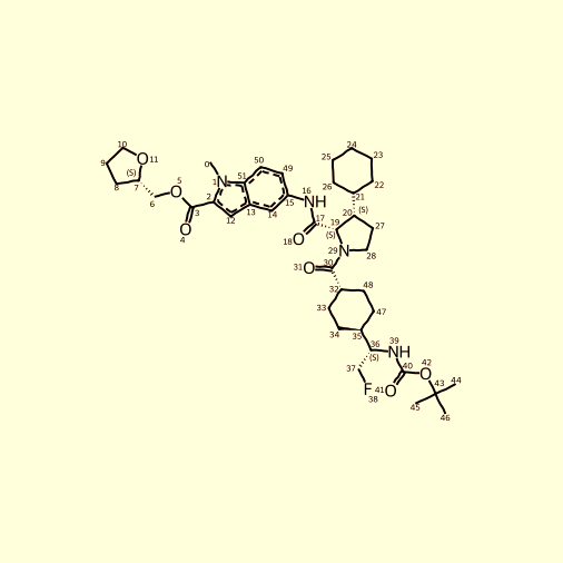 Cn1c(C(=O)OC[C@@H]2CCCO2)cc2cc(NC(=O)[C@@H]3[C@H](C4CCCCC4)CCN3C(=O)[C@H]3CC[C@H]([C@@H](CF)NC(=O)OC(C)(C)C)CC3)ccc21